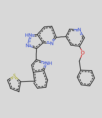 c1ccc(COc2cncc(-c3ccc4[nH]nc(-c5cc6c(-c7cccs7)cccc6[nH]5)c4n3)c2)cc1